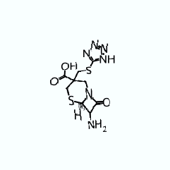 NC1C(=O)N2CC(CSc3nnn[nH]3)(C(=O)O)CS[C@H]12